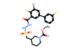 CC(C)(C)OC(=O)N1CCCC(CS(=O)(=O)NNC(=O)c2cc(-c3cccc(F)c3)cc(Cl)c2F)C1